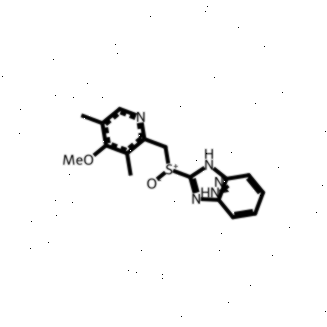 COc1c(C)cnc(C[S+]([O-])C2=NC34C=CC=CC3(N=CN4)N2)c1C